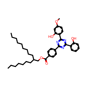 CCCCCCCCCC(CCCCCCC)COC(=O)c1ccc(-c2nc(-c3ccccc3O)nc(-c3ccc(OC)cc3O)n2)cc1